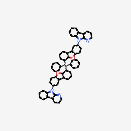 c1ccc([Si](c2ccccc2)(c2cccc3c2oc2ccc(-n4c5ccccc5c5cccnc54)cc23)c2cccc3c2oc2ccc(-n4c5ccccc5c5cccnc54)cc23)cc1